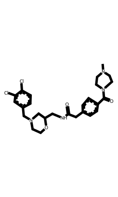 CN1CCN(C(=O)c2ccc(CC(=O)NCC3CN(Cc4ccc(Cl)c(Cl)c4)CCO3)cc2)CC1